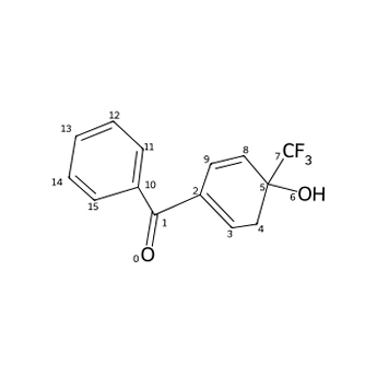 O=C(C1=CCC(O)(C(F)(F)F)C=C1)c1ccccc1